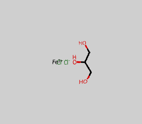 OCC(O)CO.[Cl-].[Cl-].[Fe+2]